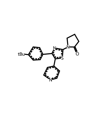 CC(C)(C)c1ccc(-c2nc(N3CCCC3=O)sc2-c2ccncc2)cc1